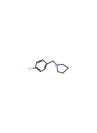 Fc1ccc(CN2CCCC2)cc1